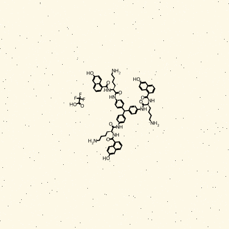 NCCCC[C@H](NC(=O)c1cccc2cc(O)ccc12)C(=O)Nc1ccc(C(c2ccc(NC(=O)[C@H](CCCCN)NC(=O)c3cccc4cc(O)ccc34)cc2)c2ccc(NC(=O)[C@H](CCCCN)NC(=O)c3cccc4cc(O)ccc34)cc2)cc1.O=C(O)C(F)(F)F